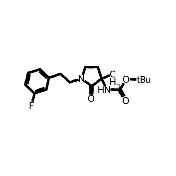 CC(C)(C)OC(=O)NC1(C)CCN(CCc2cccc(F)c2)C1=O